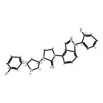 O=C1N(c2cccc3c2cnn3-c2ccccc2F)CCN1[C@H]1CO[C@H](c2cccc(F)c2)C1